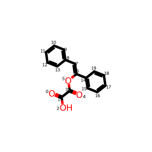 O=C(O)C(=O)OC(=Cc1ccccc1)c1ccccc1